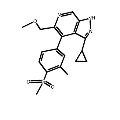 COCc1ncc2[nH]nc(C3CC3)c2c1-c1ccc(S(C)(=O)=O)c(C)c1